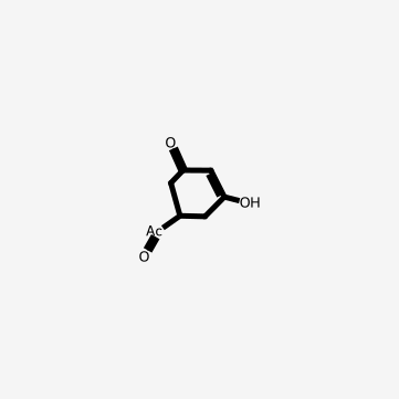 [O]=[Ac][CH]1CC(=O)C=C(O)C1